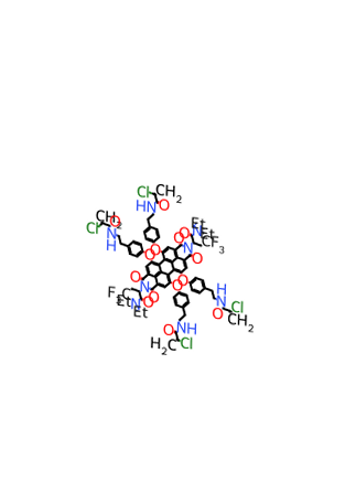 C=C(Cl)C(=O)NCCc1ccc(Oc2cc3c4c(cc(Oc5ccc(CCNC(=O)C(=C)Cl)cc5)c5c6c(Oc7ccc(CCNC(=O)C(=C)Cl)cc7)cc7c8c(cc(Oc9ccc(CCNC(=O)C(=C)Cl)cc9)c(c2c45)c86)C(=O)N(C(CC(F)(F)F)C(=O)N(CC)CC)C7=O)C(=O)N(C(CC(F)(F)F)C(=O)N(CC)CC)C3=O)cc1